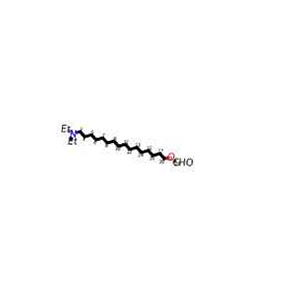 CCN(CC)CCCCCCCCCCCCCCCCO[C]=O